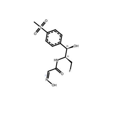 CS(=O)(=O)c1ccc([C@@H](O)[C@@H](CF)NC(=O)/C=N\O)cc1